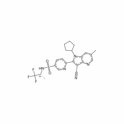 Cc1cnc2c(C#N)c(-c3ccc(S(=O)(=O)N[C@H](C)C(F)(F)F)cn3)n(C3CCCC3)c2c1